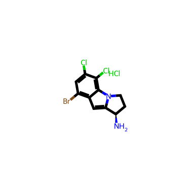 Cl.N[C@@H]1CCn2c1cc1c(Br)cc(Cl)c(Cl)c12